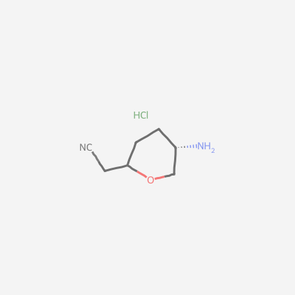 Cl.N#CCC1CC[C@H](N)CO1